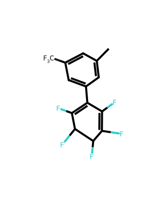 Cc1cc(C2=C(F)C(F)C(F)C(F)=C2F)cc(C(F)(F)F)c1